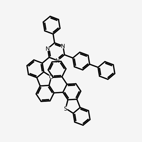 c1ccc(-c2ccc(-c3nc(-c4ccccc4)nc(-c4cccc5c4oc4c(-c6c(-c7ccccc7)ccc7c6sc6ccccc67)cccc45)n3)cc2)cc1